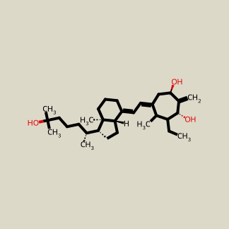 C=C1[C@H](O)C/C(=C/C=C2\CCC[C@]3(C)[C@@H]([C@H](C)CCCC(C)(C)O)CC[C@@H]23)C(C)C(CC)[C@H]1O